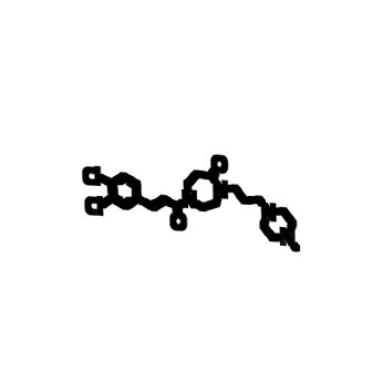 CN1CCN(CCCN2CCN(C(=O)C=Cc3ccc(Cl)c(Cl)c3)CCC2=O)CC1